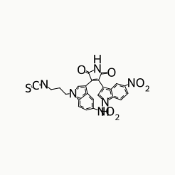 O=C1NC(=O)C(c2cn(CCCN=C=S)c3ccc([N+](=O)[O-])cc23)=C1c1c[nH]c2ccc([N+](=O)[O-])cc12